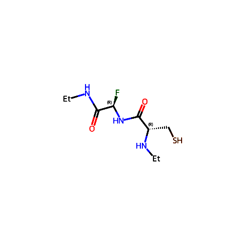 CCNC(=O)[C@@H](F)NC(=O)[C@H](CS)NCC